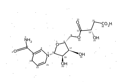 NC(=O)C1=CN([C@@H]2O[C@H](COC(=O)[C@@H](O)CC(=O)O)[C@@H](O)[C@H]2O)C=CC1